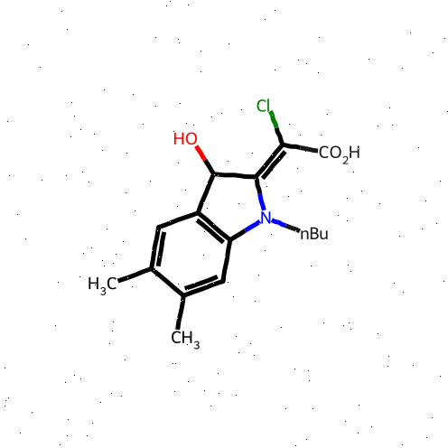 CCCCN1C(=C(Cl)C(=O)O)C(O)c2cc(C)c(C)cc21